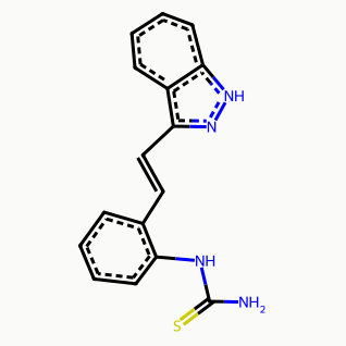 NC(=S)Nc1ccccc1/C=C/c1n[nH]c2ccccc12